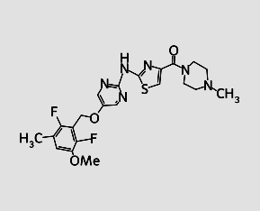 COc1cc(C)c(F)c(COc2cnc(Nc3nc(C(=O)N4CCN(C)CC4)cs3)nc2)c1F